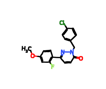 COc1ccc(-c2ccc(=O)n(Cc3ccc(Cl)cc3)n2)c(F)c1